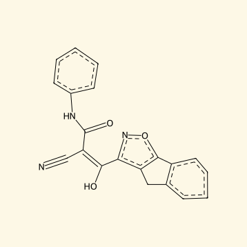 N#CC(C(=O)Nc1ccccc1)=C(O)c1noc2c1Cc1ccccc1-2